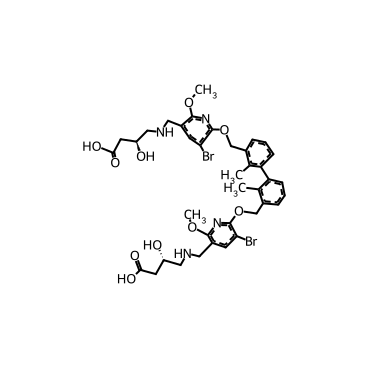 COc1nc(OCc2cccc(-c3cccc(COc4nc(OC)c(CNC[C@@H](O)CC(=O)O)cc4Br)c3C)c2C)c(Br)cc1CNC[C@@H](O)CC(=O)O